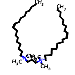 CCCCCCCC/C=C\CCCCCCCC[N+](C)(C)CCC[N+](C)(C)CCCCCCCC/C=C\CCCCCCCC